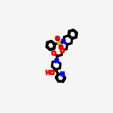 O=C(COCC1Cc2ccccc2CN1S(=O)(=O)c1ccccc1)N1CCC(O)(c2ccccn2)CC1